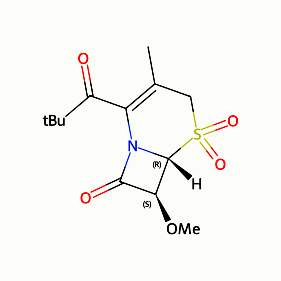 CO[C@H]1C(=O)N2C(C(=O)C(C)(C)C)=C(C)CS(=O)(=O)[C@H]12